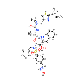 CC[C@H](C)[C@H](NC(=O)N(C)Cc1csc([C@H](C)NC(C)=O)n1)C(=O)N[C@@H](Cc1ccccc1)[C@@H](O)CN(CC1CCCC1)S(=O)(=O)c1ccc(/C=N/O)cc1